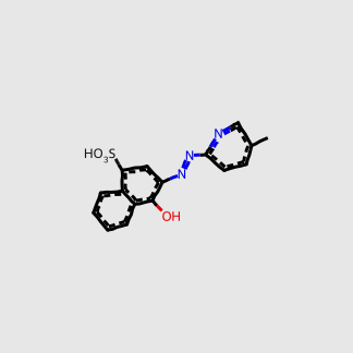 Cc1ccc(/N=N/c2cc(S(=O)(=O)O)c3ccccc3c2O)nc1